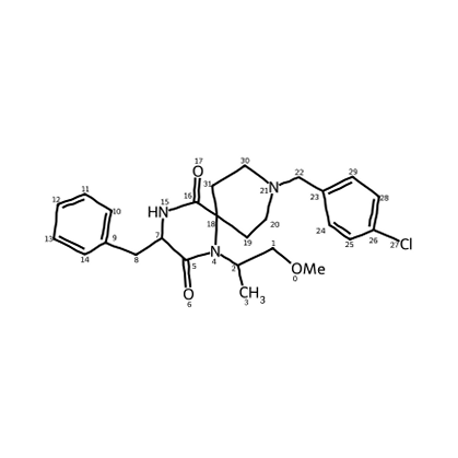 COCC(C)N1C(=O)C(Cc2ccccc2)NC(=O)C12CCN(Cc1ccc(Cl)cc1)CC2